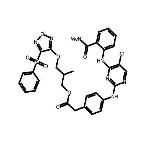 CNC(=O)c1ccccc1Nc1nc(Nc2ccc(CC(=O)OCC(C)COc3nonc3S(=O)(=O)c3ccccc3)cc2)ncc1Cl